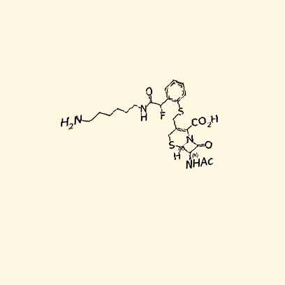 CC(=O)N[C@@H]1C(=O)N2C(C(=O)O)=C(CSc3ccccc3C(F)C(=O)NCCCCCCN)CS[C@H]12